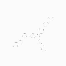 C1=CC(c2ccc(-c3ccc(N(C4=Cc5sc6ccccc6c5CC4)c4ccc(-c5cccc(-c6ccc7ccccc7c6)c5)cc4)cc3)cc2)=CCC1